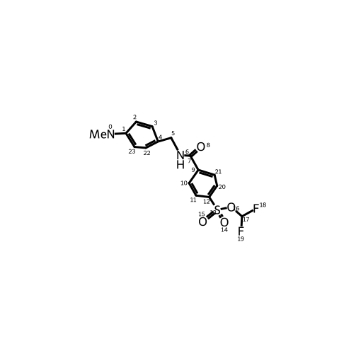 CNc1ccc(CNC(=O)c2ccc(S(=O)(=O)OC(F)F)cc2)cc1